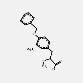 COC(Cc1ccc(OCc2ccccc2)cc1)C(=O)O.[MgH2]